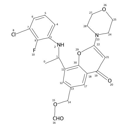 CC(Nc1cccc(Cl)c1F)c1cc(COC=O)cc2c(=O)cc(N3CCOCC3)oc12